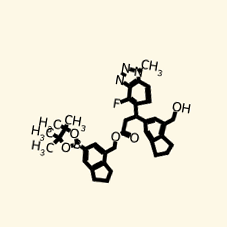 Cn1nnc2c(F)c(C(CC(=O)OCc3cc(B4OC(C)(C)C(C)(C)O4)cc4c3CCC4)c3cc(CO)c4c(c3)CCC4)ccc21